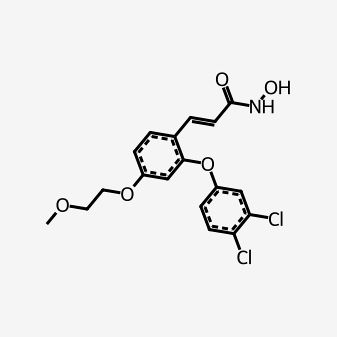 COCCOc1ccc(/C=C/C(=O)NO)c(Oc2ccc(Cl)c(Cl)c2)c1